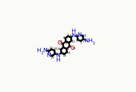 Nc1ccc(Nc2ccc3c(c2)C(=O)c2ccc(Nc4ccc(N)nc4)cc2C3=O)nc1